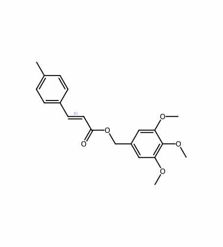 COc1cc(COC(=O)/C=C/c2ccc(C)cc2)cc(OC)c1OC